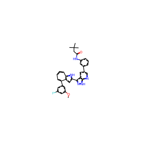 COc1cc(F)cc(C2=CC=C=Cc3[nH]c(-c4n[nH]c5ncc(-c6cccc(NC(=O)CC(C)(C)C)c6)cc45)cc32)c1